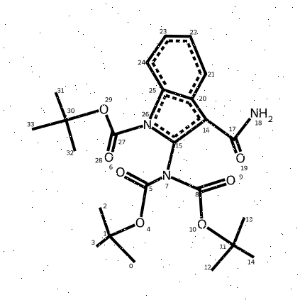 CC(C)(C)OC(=O)N(C(=O)OC(C)(C)C)c1c(C(N)=O)c2ccccc2n1C(=O)OC(C)(C)C